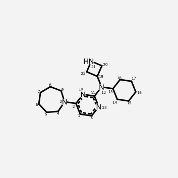 c1cc(N2CCCCCC2)nc(N(C2CCCCC2)C2CNC2)n1